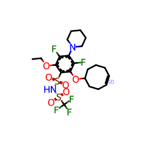 CCOc1c(F)c(N2CCCCC2)c(F)c(OC2CC/C=C\CCC2)c1S(=O)(=O)NS(=O)(=O)C(F)(F)F